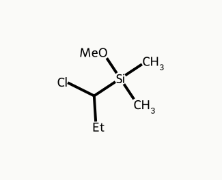 CCC(Cl)[Si](C)(C)OC